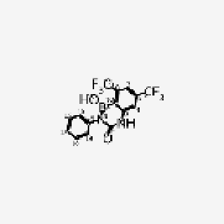 O=C1Nc2cc(C(F)(F)F)cc(C(F)(F)F)c2B(O)N1c1ccccc1